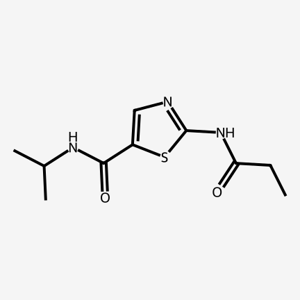 CCC(=O)Nc1ncc(C(=O)NC(C)C)s1